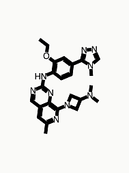 CCOc1cc(-c2nncn2C)ccc1Nc1ncc2cc(C)nc(N3CC(N(C)C)C3)c2n1